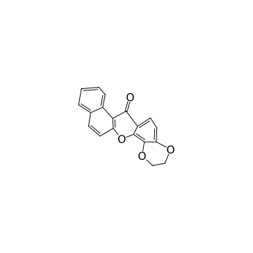 O=c1c2ccc3c(c2oc2ccc4ccccc4c12)OCCO3